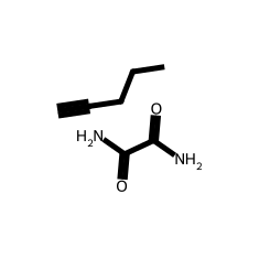 C#CCCC.NC(=O)C(N)=O